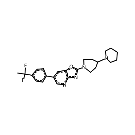 CC(F)(F)c1ccc(-c2cnc3nc(N4CCC(N5CCCCC5)CC4)oc3c2)cc1